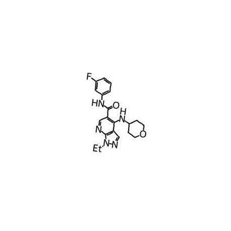 CCn1ncc2c(NC3CCOCC3)c(C(=O)Nc3cccc(F)c3)cnc21